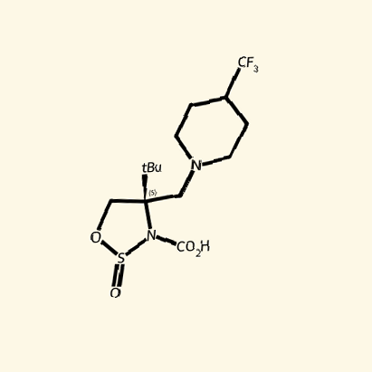 CC(C)(C)[C@]1(CN2CCC(C(F)(F)F)CC2)COS(=O)N1C(=O)O